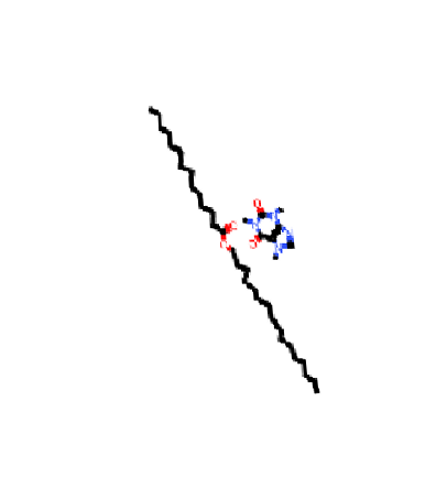 CCCCC=CCCCCCCCC(=O)OCCCCCCCCCCCCCCCC.Cn1c(=O)c2c(ncn2C)n(C)c1=O